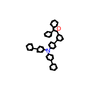 c1ccc(-c2ccc(N(c3ccc(-c4ccccc4)cc3)c3ccc(-c4cccc(-c5oc6ccccc6c5-c5ccccc5)c4)cc3)cc2)cc1